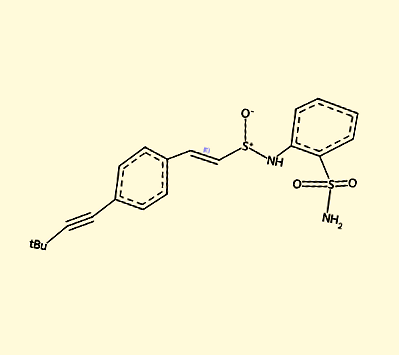 CC(C)(C)C#Cc1ccc(/C=C/[S+]([O-])Nc2ccccc2S(N)(=O)=O)cc1